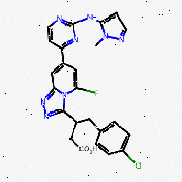 Cn1nccc1Nc1nccc(-c2cc(F)n3c(C(CC(=O)O)Cc4ccc(Cl)cc4)nnc3c2)n1